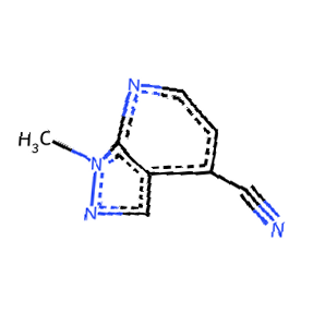 Cn1ncc2c(C#N)ccnc21